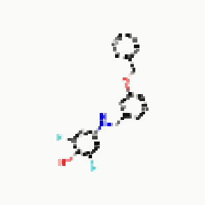 Oc1c(F)cc(NCc2cccc(OCc3ccccc3)c2)cc1F